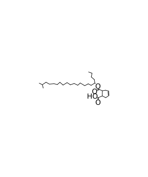 CCCCC(CCCCCCCCCCCCCCC(C)C)OC(=O)C1CC=CCC1C(=O)O